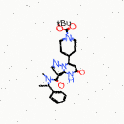 CC(c1ccccc1)N(C)C(=O)c1cnn2c(C3CCN(C(=O)OC(C)(C)C)CC3)cc(=O)[nH]c12